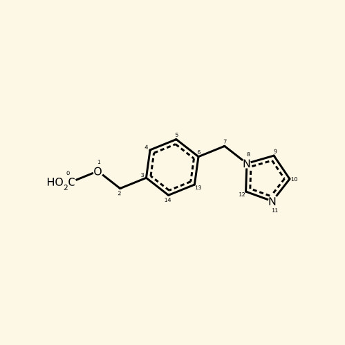 O=C(O)OCc1ccc(Cn2ccnc2)cc1